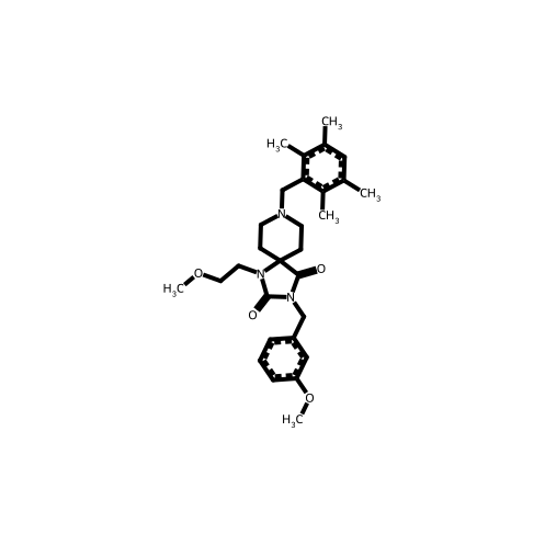 COCCN1C(=O)N(Cc2cccc(OC)c2)C(=O)C12CCN(Cc1c(C)c(C)cc(C)c1C)CC2